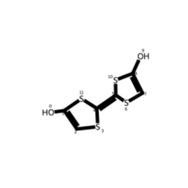 OC1=CS/C(=C2\SC=C(O)S2)S1